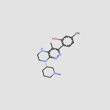 Cc1c(-c2ccc(C#N)cc2O)nnc2c1NCCN2[C@H]1CCCN(C)C1